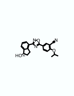 CC(C)Oc1ccc(-c2nc(-c3cccc4c3CC[C@H]4O)no2)cc1C#N